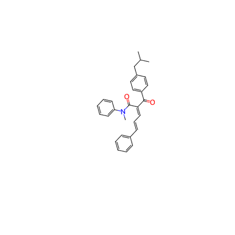 CC(C)Cc1ccc(C(=O)C(=CC=Cc2ccccc2)C(=O)N(C)c2ccccc2)cc1